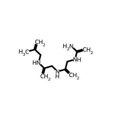 C=C(C)CNC(=C)CNC(=C)CNC(=C)N